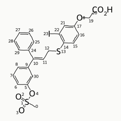 CS(=O)(=O)Oc1cccc(C(=CCSc2ccc(OCC(=O)O)cc2I)c2ccccc2)c1